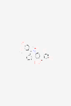 COc1cc(OC)cc(C(C)(O)c2ccc(N3C(=O)Cc4cc(OC)c(OC(C)C)cc4[C@@H]3c3ccc(Cl)cc3)cc2)c1